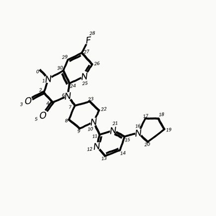 Cn1c(=O)c(=O)n(C2CCN(c3nccc(N4CCCC4)n3)CC2)c2ncc(F)cc21